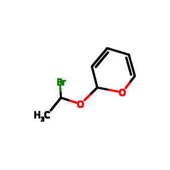 CC(Br)OC1C=CC=CO1